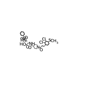 CSc1ccc(/C=C/C(=O)N2CCC(C(=O)N[C@@H](CNS(=O)(=O)c3ccccc3)C(=O)O)CC2)c(Cl)c1Cl